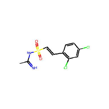 CC(=N)NS(=O)(=O)C=Cc1ccc(Cl)cc1Cl